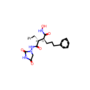 CC(C)C[C@@H](C(=O)NN1CC(=O)NC1=O)[C@H](CCCc1ccccc1)C(=O)NO